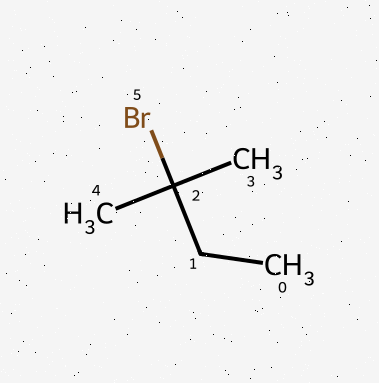 CCC(C)(C)Br